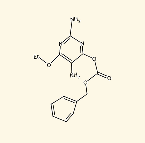 CCOc1nc(N)nc(OC(=O)OCc2ccccc2)c1N